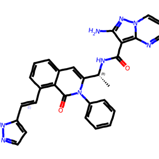 C[C@@H](NC(=O)c1c(N)nn2cccnc12)c1cc2cccc(/C=C/c3ccn[nH]3)c2c(=O)n1-c1ccccc1